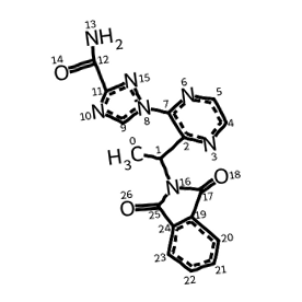 CC(c1nccnc1-n1cnc(C(N)=O)n1)N1C(=O)c2ccccc2C1=O